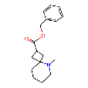 CN1CCCCC12CC(C(=O)OCc1ccccc1)C2